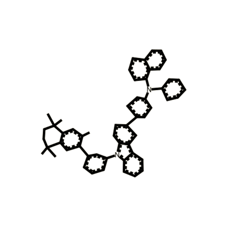 Cc1cc2c(cc1-c1cccc(-n3c4ccccc4c4cc(-c5ccc(N(c6ccccc6)c6cccc7ccccc67)cc5)ccc43)c1)C(C)(C)CCC2(C)C